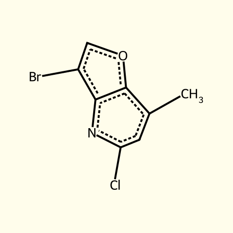 Cc1cc(Cl)nc2c(Br)coc12